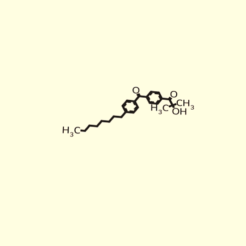 CCCCCCCCc1ccc(C(=O)c2ccc(C(=O)C(C)(C)O)cc2)cc1